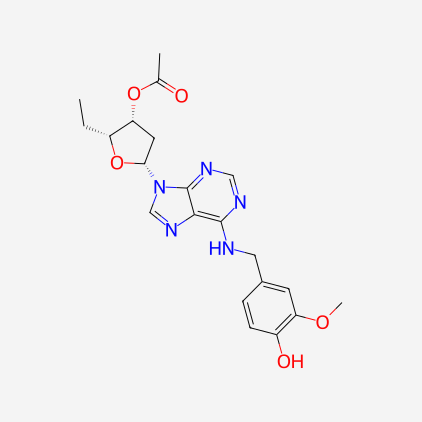 CC[C@H]1O[C@@H](n2cnc3c(NCc4ccc(O)c(OC)c4)ncnc32)C[C@H]1OC(C)=O